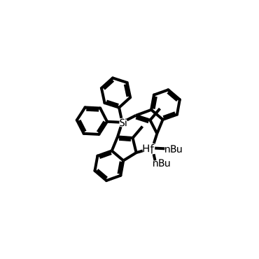 CCC[CH2][Hf]1([CH2]CCC)[CH]2C(C)=C(c3ccccc32)[Si](c2ccccc2)(c2ccccc2)C2=C(C)[CH]1c1ccccc12